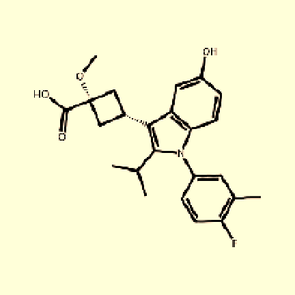 CO[C@]1(C(=O)O)C[C@H](c2c(C(C)C)n(-c3ccc(F)c(C)c3)c3ccc(O)cc32)C1